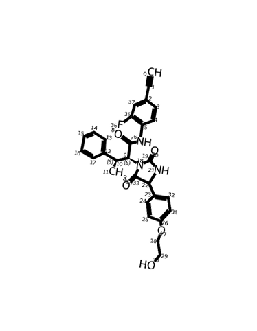 C#Cc1ccc(NC(=O)[C@H]([C@@H](C)c2ccccc2)N2C(=O)NC(c3ccc(OCCO)cc3)C2=O)c(F)c1